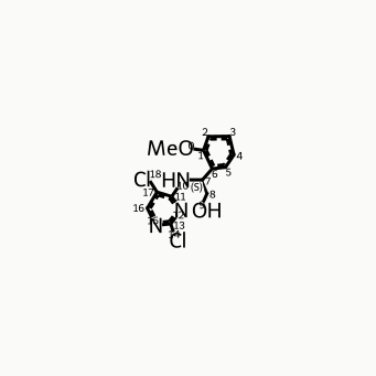 COc1ccccc1[C@@H](CO)Nc1nc(Cl)ncc1Cl